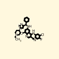 CCN1CCC(n2cc(C(Nc3cc(Cl)c4ncc(C#N)c(Nc5ccc(F)c(Cl)c5)c4c3)c3ccccc3)nn2)CC1